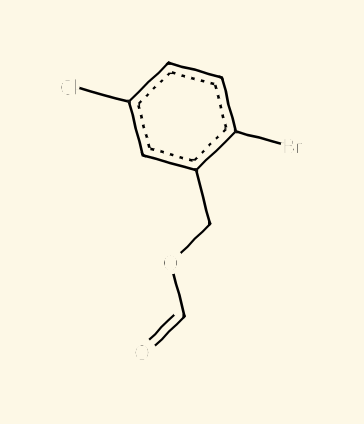 O=COCc1cc(Cl)ccc1Br